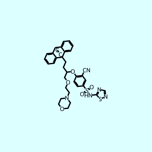 N#Cc1cc(S(=O)(=O)Nc2ncns2)ccc1OC(CCC12CCC(c3ccccc31)c1ccccc12)COCCN1CCOCC1